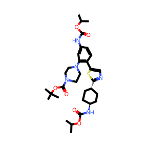 CC(C)OC(=O)Nc1ccc(-c2cnc([C@H]3CC[C@H](NC(=O)OC(C)C)CC3)s2)c(N2CCN(C(=O)OC(C)(C)C)CC2)c1